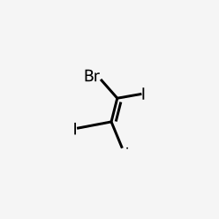 [CH2]C(I)=C(Br)I